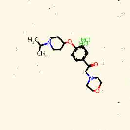 CC(C)N1CCC(Oc2ccc(C(=O)CN3CCOCC3)cc2)CC1.Cl.Cl